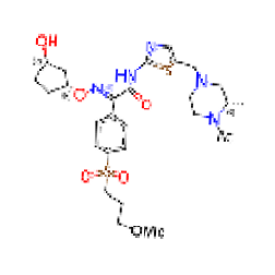 COCCCS(=O)(=O)c1ccc(/C(=N\O[C@@H]2CC[C@@H](O)C2)C(=O)Nc2ncc(CN3CCN(C(C)=O)[C@@H](C)C3)s2)cc1